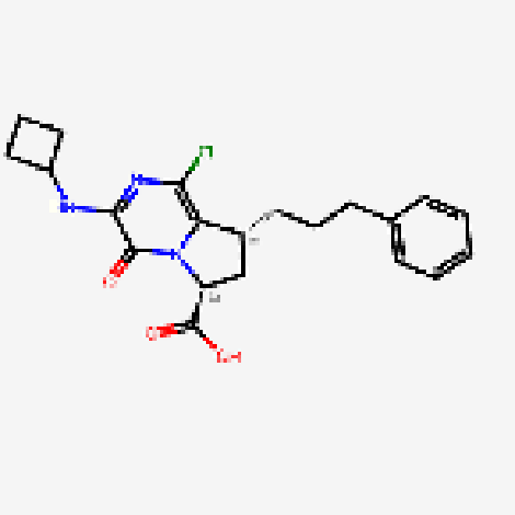 O=C(O)[C@@H]1C[C@@H](CCCc2ccccc2)c2c(Cl)nc(NC3CCC3)c(=O)n21